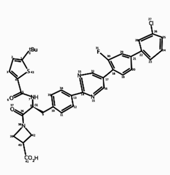 CC(C)(C)c1ccc(C(=O)N[C@@H](Cc2ccc(-c3ncc(-c4ccc(-c5cccc(Cl)c5)cc4F)cn3)cc2)C(=O)N2CC(C(=O)O)C2)s1